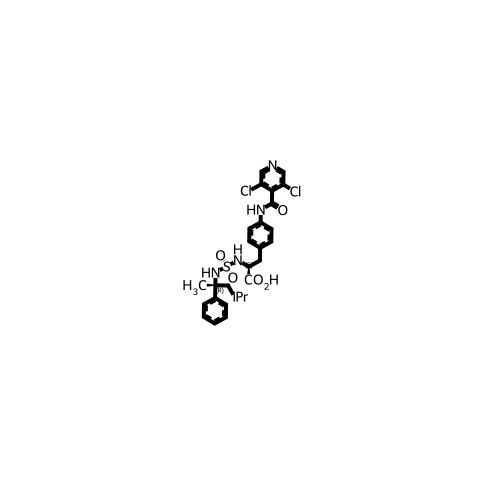 CC(C)C[C@@](C)(NS(=O)(=O)N[C@@H](Cc1ccc(NC(=O)c2c(Cl)cncc2Cl)cc1)C(=O)O)c1ccccc1